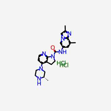 Cc1cn2cc(NC(=O)N3CCc4c(N5CCN[C@@H](C)C5)ccnc43)cc(C)c2n1.Cl.Cl